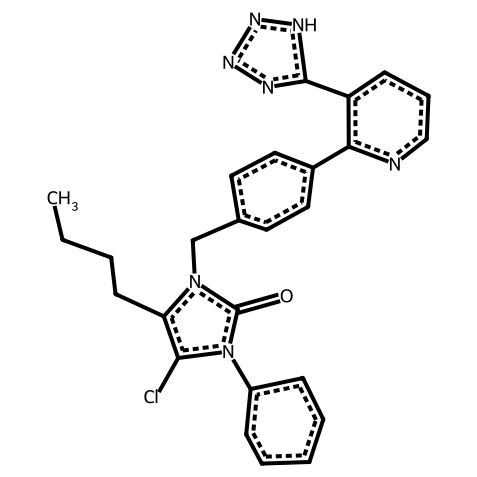 CCCCc1c(Cl)n(-c2ccccc2)c(=O)n1Cc1ccc(-c2ncccc2-c2nnn[nH]2)cc1